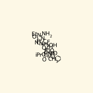 [2H]C([2H])(OP(=O)(N[C@@H](C)C(=O)OC(C)C)Oc1ccccc1)[C@@]1(F)O[C@@H](n2cnc3c(OCC)nc(N)nc32)[C@](C)(F)[C@@H]1O